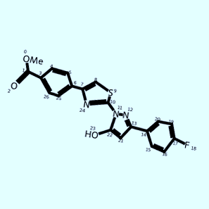 COC(=O)c1ccc(-c2csc(-n3nc(-c4ccc(F)cc4)cc3O)n2)cc1